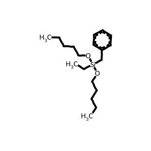 CCCCCO[Si](CC)(Cc1ccccc1)OCCCCC